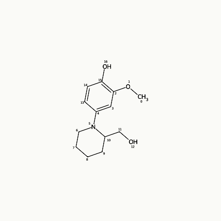 COc1cc(N2CCCCC2CO)ccc1O